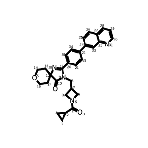 O=C(C1CC1)N1CC(CN2C(=O)C3(CCOCC3)N=C2c2ccc(-c3ccc4cccnc4c3)cc2)C1